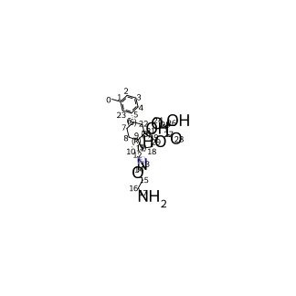 Cc1cccc([C@H]2CC[C@]3(C)[C@@H](/C=N/OCCN)CC[C@]3(O)C2)c1.O=C(O)C(=O)O